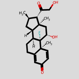 C[C@@H]1C[C@H]2[C@@H]3CCC4=CC(=O)C=C[C@]4(C)[C@]3(F)[C@@H](O)C[C@]2(C)[C@H]1C(=O)CO